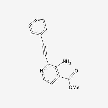 COC(=O)c1ccnc(C#Cc2ccccc2)c1N